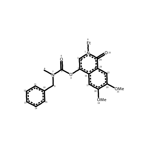 CCn1cc(OC(=O)N(C)Cc2ccccc2)c2cc(OC)c(OC)cc2c1=O